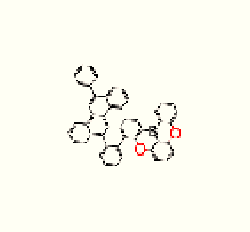 c1ccc(-c2cc3c4ccccc4c(-c4ccccc4-c4cccc5c4Oc4cccc6c4B5c4ccccc4O6)cc3c3ccccc23)cc1